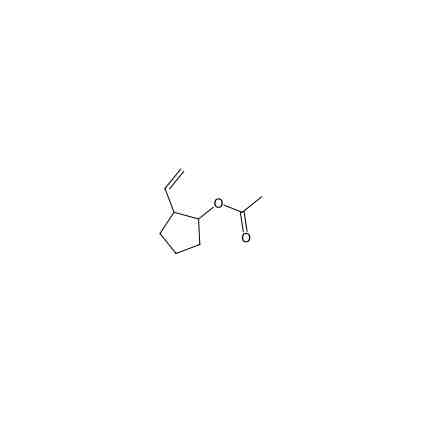 C=CC1CCCC1OC(C)=O